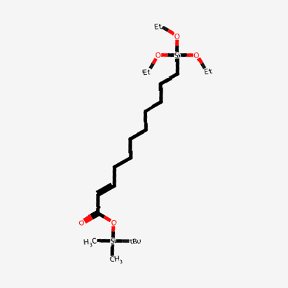 CCO[Si](CCCCCCCCC=CC(=O)O[Si](C)(C)C(C)(C)C)(OCC)OCC